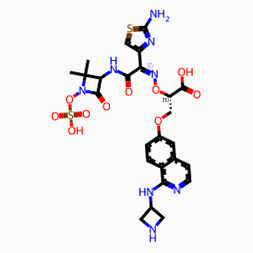 CC1(C)C(NC(=O)/C(=N\O[C@@H](COc2ccc3c(NC4CNC4)nccc3c2)C(=O)O)c2csc(N)n2)C(=O)N1OS(=O)(=O)O